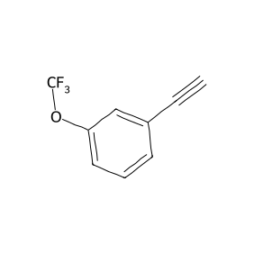 C#Cc1cccc(OC(F)(F)F)c1